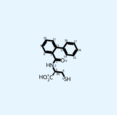 O=C(N[C@@H](CS)C(=O)O)c1ccccc1-c1ccccc1